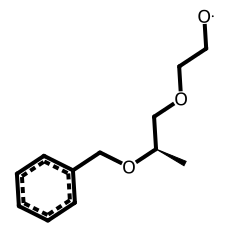 C[C@H](COCC[O])OCc1ccccc1